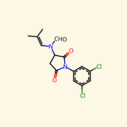 CC(C)=CN(C=O)C1CC(=O)N(c2cc(Cl)cc(Cl)c2)C1=O